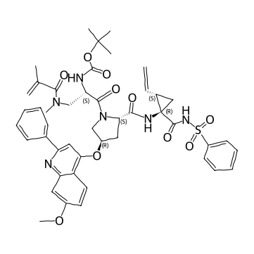 C=C[C@@H]1C[C@]1(NC(=O)[C@@H]1C[C@@H](Oc2cc(-c3ccccc3)nc3cc(OC)ccc23)CN1C(=O)[C@H](CN(C)C(=O)C(=C)C)NC(=O)OC(C)(C)C)C(=O)NS(=O)(=O)c1ccccc1